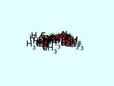 CC[C@H](C)C(CNC(=O)OC)C(=O)N1C[C@@H](COC)C[C@H]1c1nc2ccc3cc4c(cc3c2[nH]1)OCc1cc(-c2cnc([C@@H]3CC[C@H](C)N3C(=O)C(NC(=O)OC)[C@@H](C)OC)[nH]2)ccc1-4